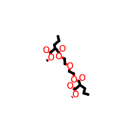 CCCC(C(=O)OC)C(=O)OCCOCCOC(=O)C(CCC)C(=O)OC